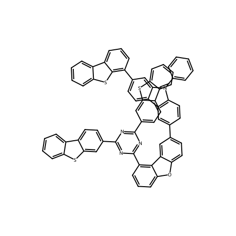 c1ccc(-n2c3ccc(-c4ccc5oc6cccc(-c7nc(-c8ccc9c(c8)sc8ccccc89)nc(-c8ccc9c(c8)sc8ccccc89)n7)c6c5c4)cc3c3ccc(-c4cccc5c4sc4ccccc45)cc32)cc1